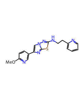 COc1ccc(-c2cn3nc(NCCc4ccccn4)sc3n2)cn1